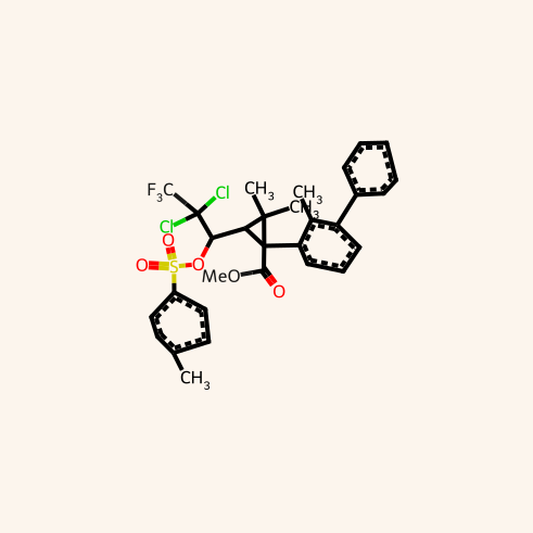 COC(=O)C1(c2cccc(-c3ccccc3)c2C)C(C(OS(=O)(=O)c2ccc(C)cc2)C(Cl)(Cl)C(F)(F)F)C1(C)C